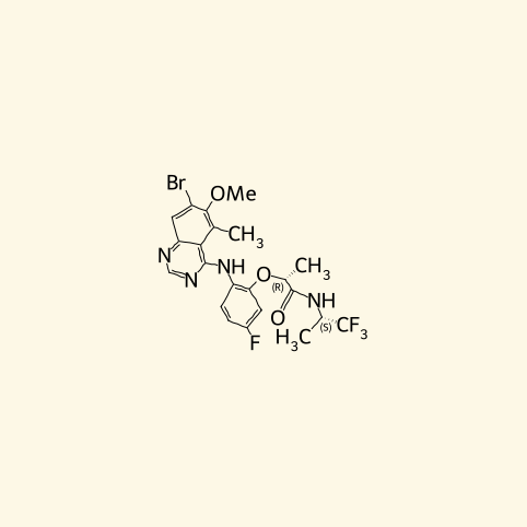 COc1c(Br)cc2ncnc(Nc3ccc(F)cc3O[C@H](C)C(=O)N[C@@H](C)C(F)(F)F)c2c1C